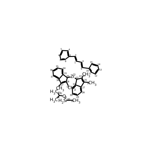 C(C=Cc1ccccc1)=Cc1ccccc1.CC1=C(C)[CH]([Zr][CH]2C(C)=C(C)c3ccccc32)c2ccccc21.C[SiH2]OC(C)C